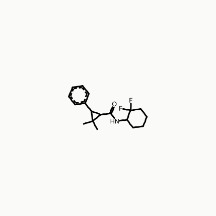 CC1(C)C(C(=O)NC2CCCCC2(F)F)C1c1ccccc1